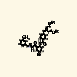 CCOCCN(CCOCC)Cc1ccc(C(=O)Nc2ccc(Br)cc2C(=O)N/N=C/c2cccc(C)c2)cc1